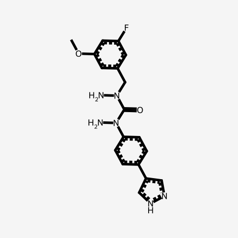 COc1cc(F)cc(CN(N)C(=O)N(N)c2ccc(-c3cn[nH]c3)cc2)c1